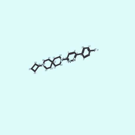 Fc1ccc(-c2ccc(N3CCC4(CC3)CCN(C3CCC3)CC4)nn2)cc1